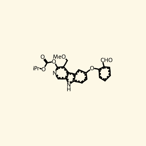 COCc1c(OC(=O)OC(C)C)ncc2[nH]c3ccc(Oc4ccccc4C=O)cc3c12